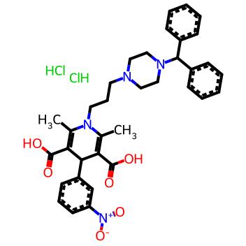 CC1=C(C(=O)O)C(c2cccc([N+](=O)[O-])c2)C(C(=O)O)=C(C)N1CCCN1CCN(C(c2ccccc2)c2ccccc2)CC1.Cl.Cl